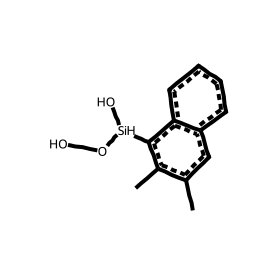 Cc1cc2ccccc2c([SiH](O)OO)c1C